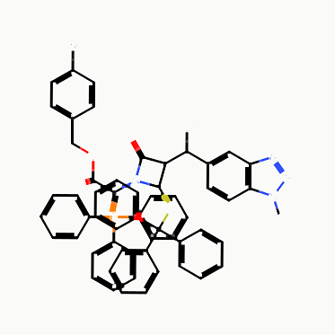 CC(=O)OC(c1ccc2c(c1)nnn2C)C1C(=O)N(C(C(=O)OCc2ccc([N+](=O)[O-])cc2)=P(c2ccccc2)(c2ccccc2)c2ccccc2)C1SC(c1ccccc1)(c1ccccc1)c1ccccc1